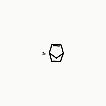 C1=CC2CCC1C2.[Zn]